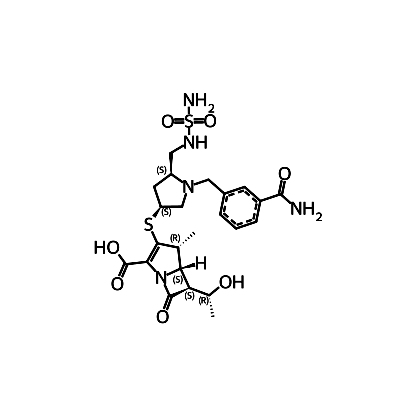 C[C@@H](O)[C@H]1C(=O)N2C(C(=O)O)=C(S[C@H]3C[C@@H](CNS(N)(=O)=O)N(Cc4cccc(C(N)=O)c4)C3)[C@H](C)[C@H]12